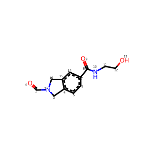 O=CN1Cc2ccc(C(=O)NCCO)cc2C1